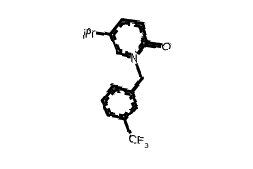 CC(C)c1ccc(=O)n(Cc2cccc(C(F)(F)F)c2)c1